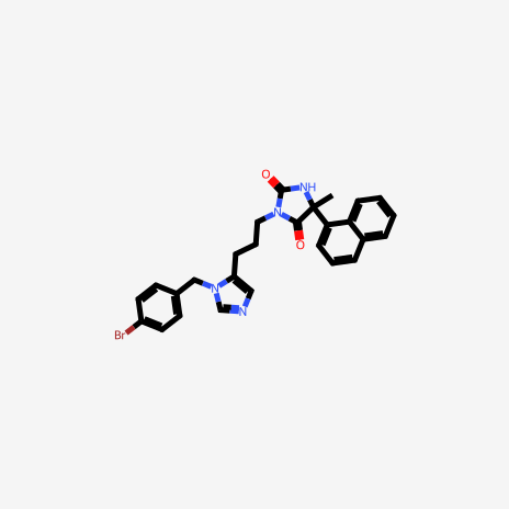 CC1(c2cccc3ccccc23)NC(=O)N(CCCc2cncn2Cc2ccc(Br)cc2)C1=O